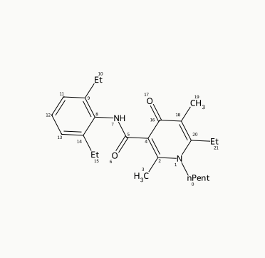 CCCCCn1c(C)c(C(=O)Nc2c(CC)cccc2CC)c(=O)c(C)c1CC